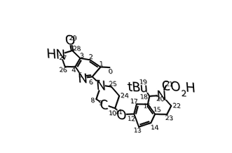 Cc1cc2c(nc1N1CCC(Oc3ccc4c(c3)C(C(C)(C)C)N(C(=O)O)CC4)CC1)CNC2=O